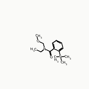 CCN(COC)C(=O)c1ccccc1[Si](C)(C)C